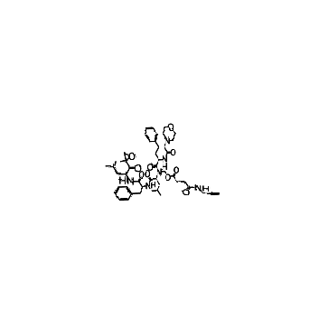 C#CCNC(=O)CCC(=O)OCN(C(=O)C(CCc1ccccc1)NC(=O)CN1CCOCC1)C(CC(C)C)C(=O)NC(Cc1ccccc1)C(=O)NC(CC(C)C)C(=O)C1(C)CO1